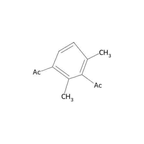 CC(=O)c1ccc(C)c(C(C)=O)c1C